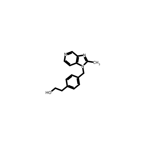 Cc1nc2cnccc2n1Cc1ccc(CCO)cc1